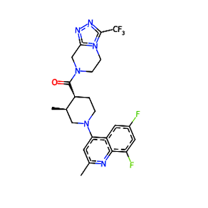 Cc1cc(N2CC[C@H](C(=O)N3CCn4c(nnc4C(F)(F)F)C3)[C@H](C)C2)c2cc(F)cc(F)c2n1